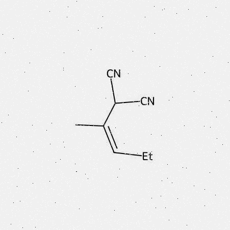 CC/C=C(/C)C(C#N)C#N